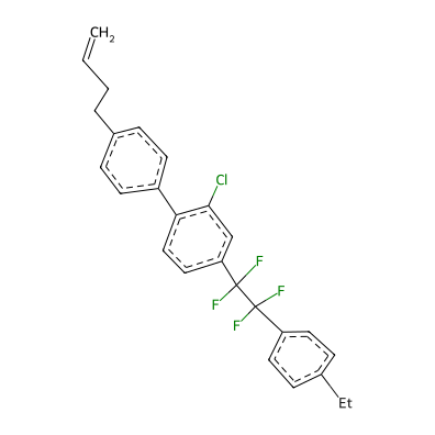 C=CCCc1ccc(-c2ccc(C(F)(F)C(F)(F)c3ccc(CC)cc3)cc2Cl)cc1